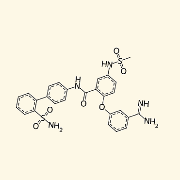 CS(=O)(=O)Nc1ccc(Oc2cccc(C(=N)N)c2)c(C(=O)Nc2ccc(-c3ccccc3S(N)(=O)=O)cc2)c1